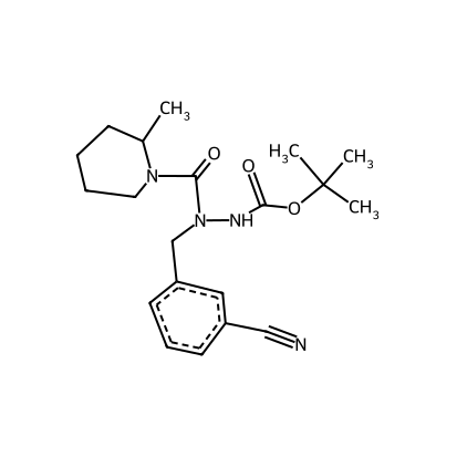 CC1CCCCN1C(=O)N(Cc1cccc(C#N)c1)NC(=O)OC(C)(C)C